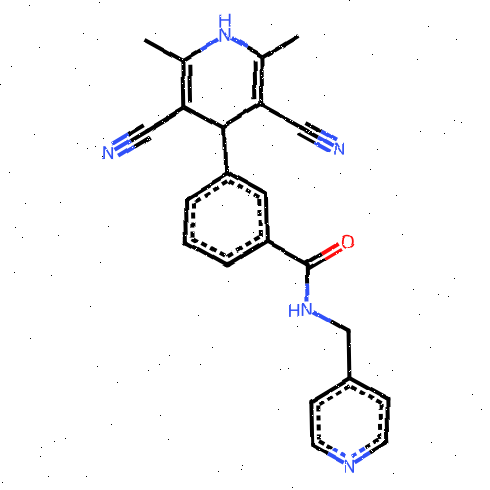 CC1=C(C#N)C(c2cccc(C(=O)NCc3ccncc3)c2)C(C#N)=C(C)N1